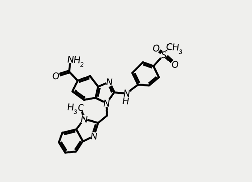 Cn1c(Cn2c(Nc3ccc(S(C)(=O)=O)cc3)nc3cc(C(N)=O)ccc32)nc2ccccc21